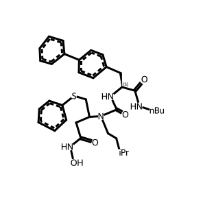 CCCCNC(=O)[C@H](Cc1ccc(-c2ccccc2)cc1)NC(=O)N(CCC(C)C)C(CSc1ccccc1)CC(=O)NO